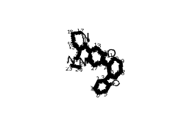 c1ccc2c(c1)oc1ccc3oc4cc5c6ncccc6c6nccn6c5cc4c3c12